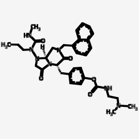 CCCN(C(=O)NC)N1CC(=O)N2[C@@H](Cc3ccc(OC(=O)NCCN(C)C)cc3)C(=O)N(Cc3cccc4ccccc34)C[C@@H]21